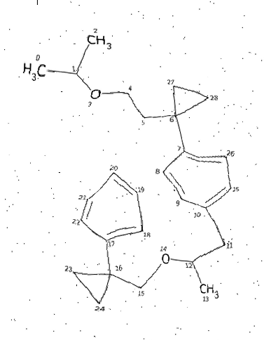 CC(C)OCCC1(c2ccc(CC(C)OCC3(c4ccccc4)CC3)cc2)CC1